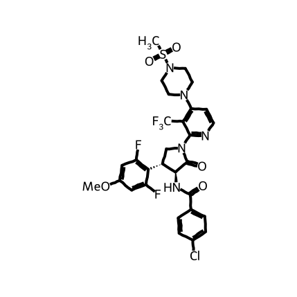 COc1cc(F)c([C@@H]2CN(c3nccc(N4CCN(S(C)(=O)=O)CC4)c3C(F)(F)F)C(=O)[C@H]2NC(=O)c2ccc(Cl)cc2)c(F)c1